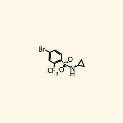 O=S(=O)(N[C]1CC1)c1ccc(Br)cc1C(F)(F)F